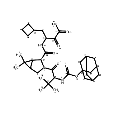 CC1(C)C2CN(C(=O)[C@@H](NC(=O)OC34CC5CC(CC(C5)C3)C4)C(C)(C)C)[C@H](C(=O)NC(CC3CCC3)C(=O)C(N)=O)C21